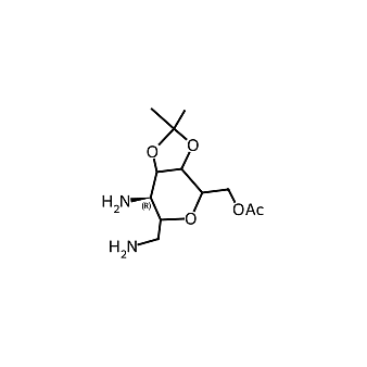 CC(=O)OCC1OC(CN)[C@@H](N)C2OC(C)(C)OC12